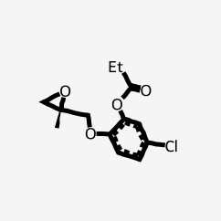 CCC(=O)Oc1cc(Cl)ccc1OC[C@]1(C)CO1